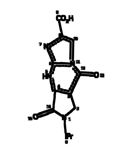 CC(C)N1Cc2c([nH]c3nc(C(=O)O)cn3c2=O)C1=O